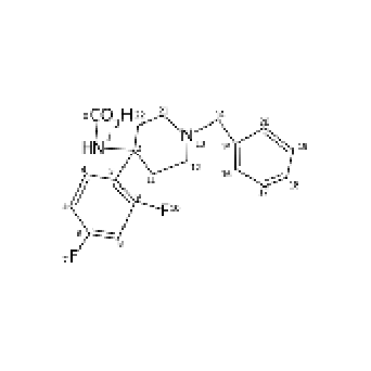 O=C(O)NC1(c2ccc(F)cc2F)CCN(Cc2ccccc2)CC1